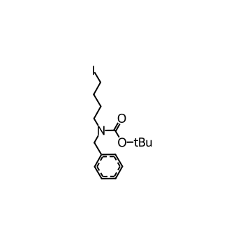 CC(C)(C)OC(=O)N(CCCCI)Cc1ccccc1